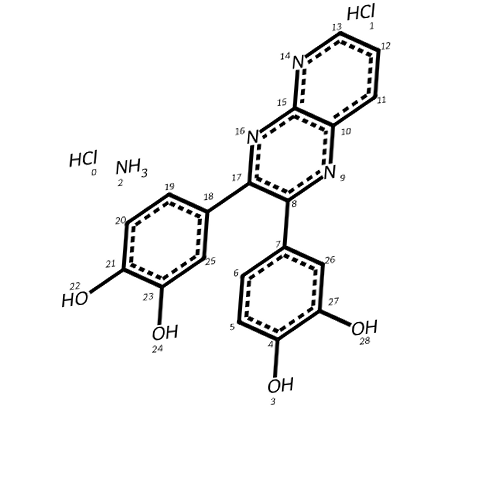 Cl.Cl.N.Oc1ccc(-c2nc3cccnc3nc2-c2ccc(O)c(O)c2)cc1O